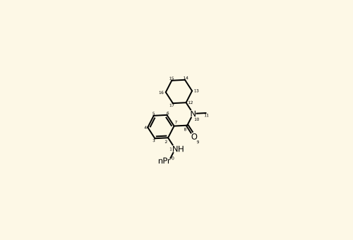 CCCNc1ccccc1C(=O)N(C)C1CCCCC1